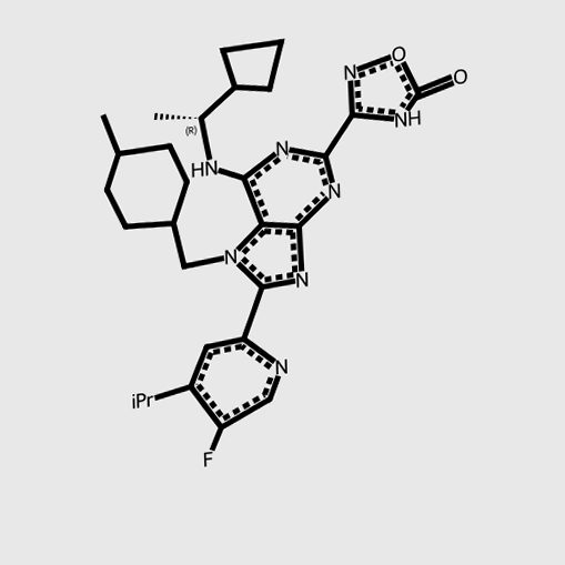 CC1CCC(Cn2c(-c3cc(C(C)C)c(F)cn3)nc3nc(-c4noc(=O)[nH]4)nc(N[C@H](C)C4CCC4)c32)CC1